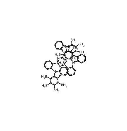 Bc1c(B)c(B)c2c(c1B)c1ccccc1n2-c1nc(-c2ccccc2-n2c3ccccc3c3c(B)c(B)c(B)c(B)c32)nc(-c2ccccc2-n2c3ccccc3c3c(B)c(B)c(B)c(B)c32)n1